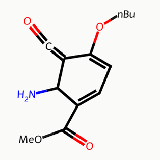 CCCCOC1=CC=C(C(=O)OC)C(N)C1=C=O